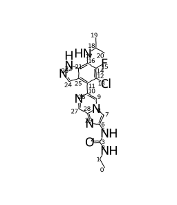 CCNC(=O)Nc1cn2cc(-c3c(Cl)c(F)c(NC(C)C)c4[nH]ncc34)ncc2n1